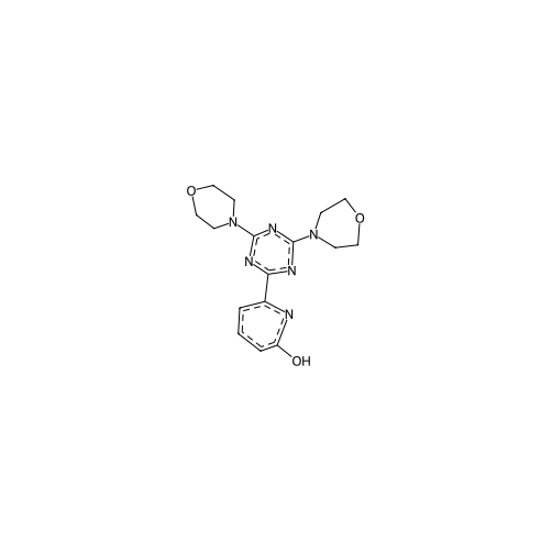 Oc1cccc(-c2nc(N3CCOCC3)nc(N3CCOCC3)n2)n1